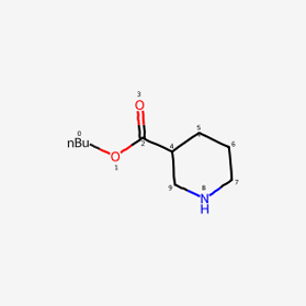 CCCCOC(=O)C1[CH]CCNC1